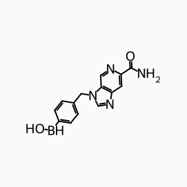 NC(=O)c1cc2ncn(Cc3ccc(BO)cc3)c2cn1